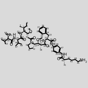 CC[C@H](C)[C@@H]([C@@H](CC(=O)N1CCC[C@H]1[C@H](OC)[C@@H](C)C(=O)N[C@@H](Cc1ccccc1)C(=O)Nc1ccc(NC(=O)[C@@H](C)CCCCN)cc1)OC)N(C)C(=O)[C@@H](NC(=O)C(C(C)C)N(C)C)C(C)C